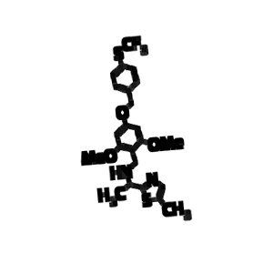 COc1cc(OCc2ccc(SC(F)(F)F)cc2)cc(OC)c1CNC(C)c1ncc(C)s1